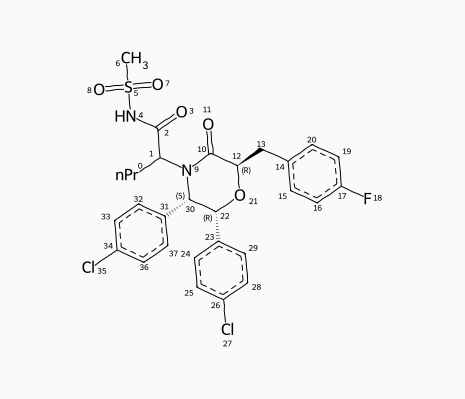 CCCC(C(=O)NS(C)(=O)=O)N1C(=O)[C@@H](Cc2ccc(F)cc2)O[C@H](c2ccc(Cl)cc2)[C@@H]1c1ccc(Cl)cc1